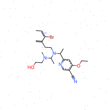 C=C(CCN(C(C)c1cc(OCC)c(C#N)cn1)C(C)N(C)CCO)/C(Br)=C\C